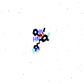 CCNC(=O)[C@H](N[C@H](CCc1ccc(C(F)(F)F)nc1)c1ccc(F)c(C)c1)c1ccccc1